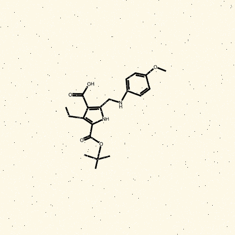 CCc1c(C(=O)OC(C)(C)C)[nH]c(CNc2ccc(OC)cc2)c1C(=O)O